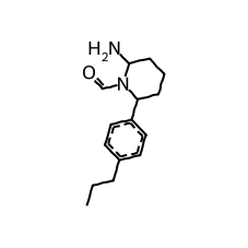 CCCc1ccc(C2CCCC(N)N2C=O)cc1